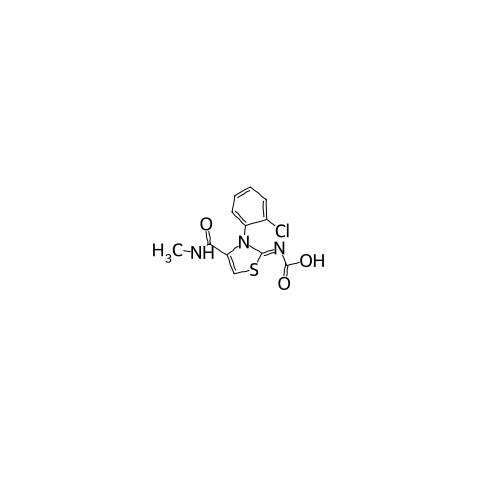 CNC(=O)c1csc(=NC(=O)O)n1-c1ccccc1Cl